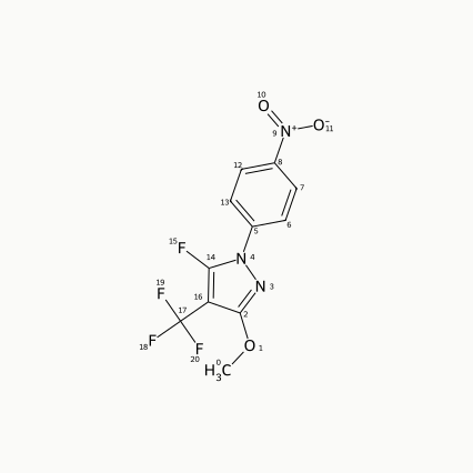 COc1nn(-c2ccc([N+](=O)[O-])cc2)c(F)c1C(F)(F)F